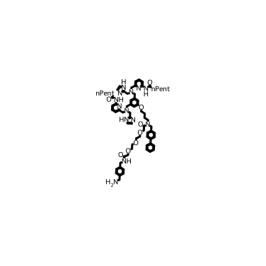 CCCCCC(=O)Nc1cccc(CN(Cc2cc(CN(Cc3cccc(NC(=O)CCCCC)n3)Cc3ncc[nH]3)cc(OCCCCN(Cc3ccc(-c4ccccc4)cc3)C(=O)COCCOCCOCC(=O)NCc3ccc(CN)cc3)c2)Cc2ncc[nH]2)n1